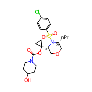 CCC[C@@H]1COC[C@H](C2(OC(=O)N3CCC(O)CC3)CC2)N1S(=O)(=O)c1ccc(Cl)cc1